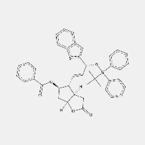 CC(C)(C)[Si](O[C@H](/C=C/[C@@H]1[C@H]2CC(=O)O[C@H]2C[C@H]1OC(=O)c1ccccc1)c1cc2ccccc2s1)(c1ccccc1)c1ccccc1